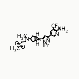 CC(C)n1nc(-c2cnc(N)c(C(F)(F)F)c2)cc1[C@H]1[C@@H]2CC(N(C)CCS(C)(=O)=O)C[C@@H]21